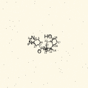 Cn1cnc2ccc(C(=O)N3CC[C@@]4(C)c5cccc(O)c5CC3C4(C)C)cc21